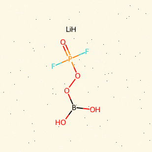 O=P(F)(F)OOB(O)O.[LiH]